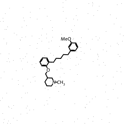 COc1cccc(CCCCCc2ccccc2OCC2CCCN(C)C2)c1